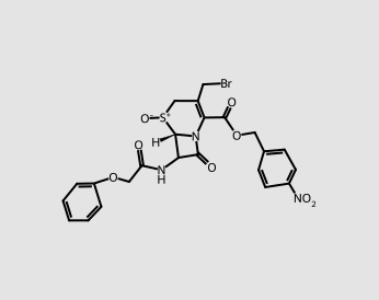 O=C(COc1ccccc1)NC1C(=O)N2C(C(=O)OCc3ccc([N+](=O)[O-])cc3)=C(CBr)C[S+]([O-])[C@@H]12